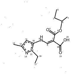 CCC(C)OC(=O)C(=CNc1cc(C)nn1CC)C(=O)O